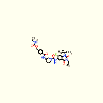 CCNC(=O)OCc1ccc(C(=O)N[C@@H]2CCCN(C(=O)Nc3cc4c(=O)n(CC5CC5)c(=O)n(C(C)C)c4cc3F)C2)cc1